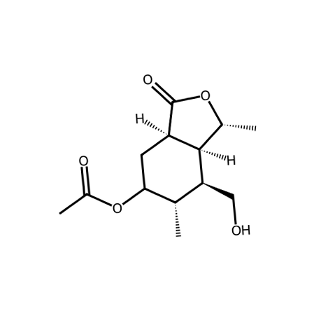 CC(=O)OC1C[C@H]2C(=O)O[C@H](C)[C@H]2[C@@H](CO)[C@@H]1C